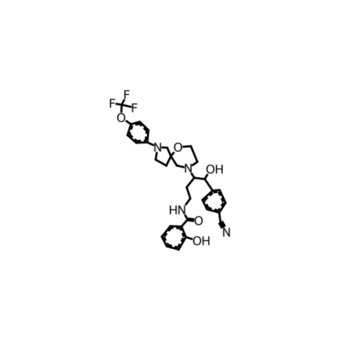 N#Cc1ccc(C(O)C(CCNC(=O)c2ccccc2O)N2CCOC3(CCN(c4ccc(OC(F)(F)F)cc4)C3)C2)cc1